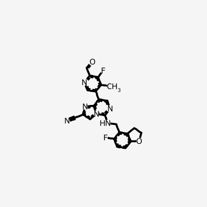 Cc1c(-c2cnc(NCc3c(F)ccc4c3CCO4)n3cc(C#N)nc23)cnc(C=O)c1F